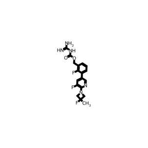 CC1(F)CN(c2ncc(-c3cccc(COC(=O)NC(=N)N)c3F)cc2F)C1